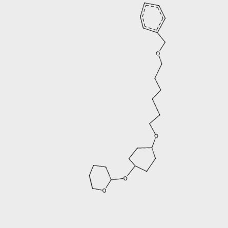 c1ccc(COCCCCCCOC2CCC(OC3CCCCO3)CC2)cc1